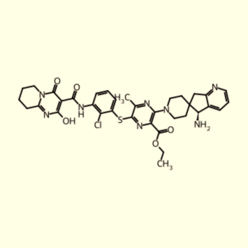 CCOC(=O)c1nc(Sc2cccc(NC(=O)c3c(O)nc4n(c3=O)CCCC4)c2Cl)c(C)nc1N1CCC2(CC1)Cc1ncccc1[C@H]2N